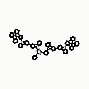 c1ccc(-c2nc(-c3cccc(-n4c5ccccc5c5cc(-c6ccc7c(c6)c6ccccc6n7-c6ccc7c(c6)C6(c8ccccc8-c8ccccc86)c6ccccc6-7)ccc54)c3)nc(-n3c4ccccc4c4cc(-c5ccc6c(c5)c5ccccc5n6-c5ccc6c(c5)C5(c7ccccc7-c7ccccc75)c5ccccc5-6)ccc43)n2)cc1